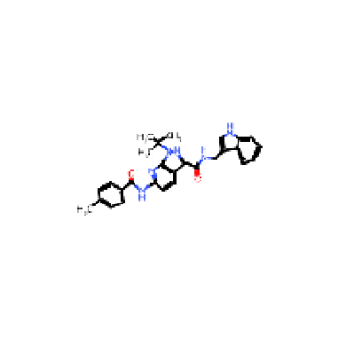 Cc1ccc(C(=O)Nc2ccc3c(C(=O)NCc4c[nH]c5ccccc45)nn(C(C)(C)C)c3n2)cc1